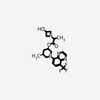 CC(C(=O)O[C@@H]1C[C@H](C)CN(c2ccc(C(F)(F)F)c3nccnc23)C1)N1CC(O)C1